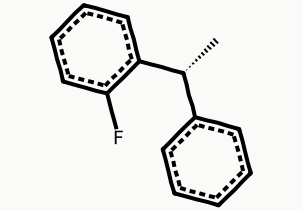 C[C@H](c1ccccc1)c1ccccc1F